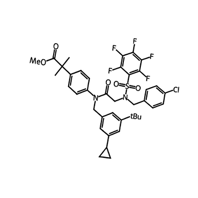 COC(=O)C(C)(C)c1ccc(N(Cc2cc(C3CC3)cc(C(C)(C)C)c2)C(=O)CN(Cc2ccc(Cl)cc2)S(=O)(=O)c2c(F)c(F)c(F)c(F)c2F)cc1